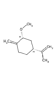 C=C(C)[C@@H]1CCC(=C)[C@H](OC)C1